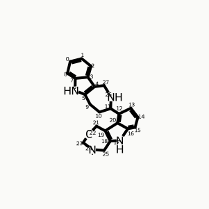 c1ccc2c3c([nH]c2c1)CCC(c1cccc2[nH]c4c(c12)CCC[N]C4)NC3